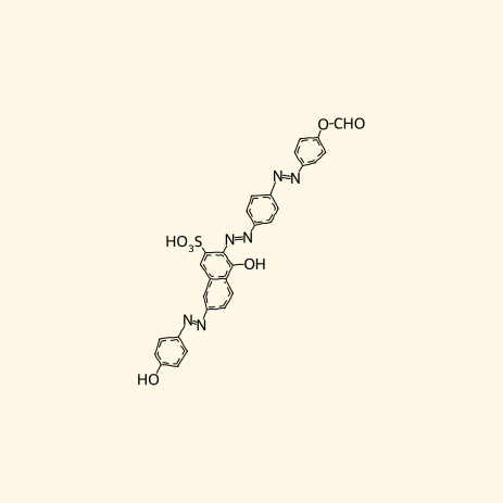 O=COc1ccc(N=Nc2ccc(N=Nc3c(S(=O)(=O)O)cc4cc(N=Nc5ccc(O)cc5)ccc4c3O)cc2)cc1